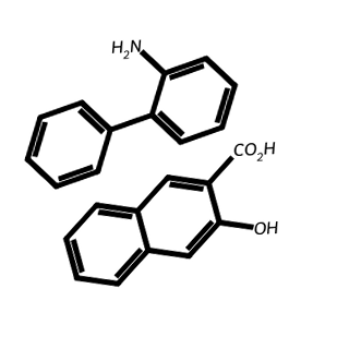 Nc1ccccc1-c1ccccc1.O=C(O)c1cc2ccccc2cc1O